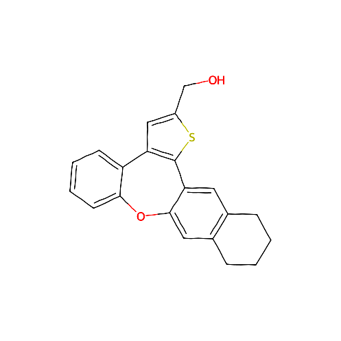 OCc1cc2c(s1)-c1cc3c(cc1Oc1ccccc1-2)CCCC3